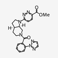 COC(=O)c1ccc(N2CC[C@@H]3CCN(C(=O)c4ccccc4-n4nccn4)C[C@@H]32)nn1